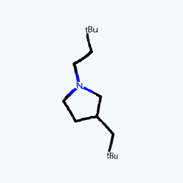 CC(C)(C)CCN1CCC(CC(C)(C)C)C1